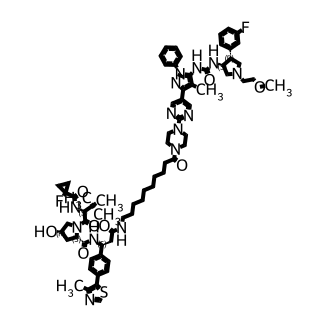 COCCN1C[C@@H](NC(=O)Nc2c(C)c(-c3cnc(N4CCN(C(=O)CCCCCCCCCNC(=O)C[C@H](NC(=O)[C@@H]5C[C@@H](O)CN5C(=O)[C@@H](NC(=O)C5(F)CC5)C(C)(C)C)c5ccc(-c6scnc6C)cc5)CC4)nc3)nn2-c2ccccc2)[C@H](c2cccc(F)c2)C1